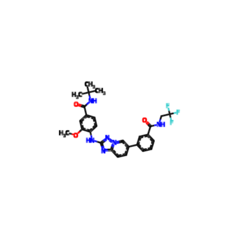 COc1cc(C(=O)NC(C)(C)C)ccc1Nc1nc2ccc(-c3cccc(C(=O)NCC(F)(F)F)c3)cn2n1